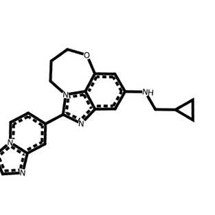 c1nc2cc(-c3nc4cc(NCC5CC5)cc5c4n3CCCO5)ccn2n1